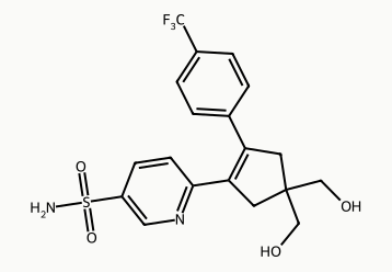 NS(=O)(=O)c1ccc(C2=C(c3ccc(C(F)(F)F)cc3)CC(CO)(CO)C2)nc1